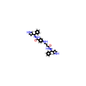 O=C(CCCNc1ccc(C(=O)NN=C(c2ccccc2)C2CCNC2)cc1)NN=C(c1ccccc1)C1CCNC1